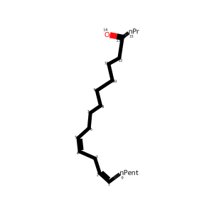 CCCCC/C=C\C/C=C\CCCCCCCC(=O)CCC